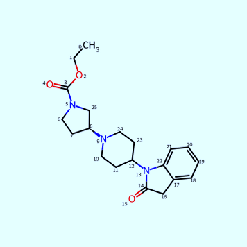 CCOC(=O)N1CC[C@H](N2CCC(N3C(=O)Cc4ccccc43)CC2)C1